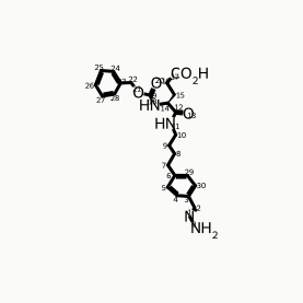 NN=Cc1ccc(CCCCNC(=O)[C@H](CCC(=O)O)NC(=O)OCc2ccccc2)cc1